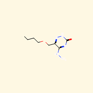 CCCCOCc1n[nH]c(=O)nc1NN